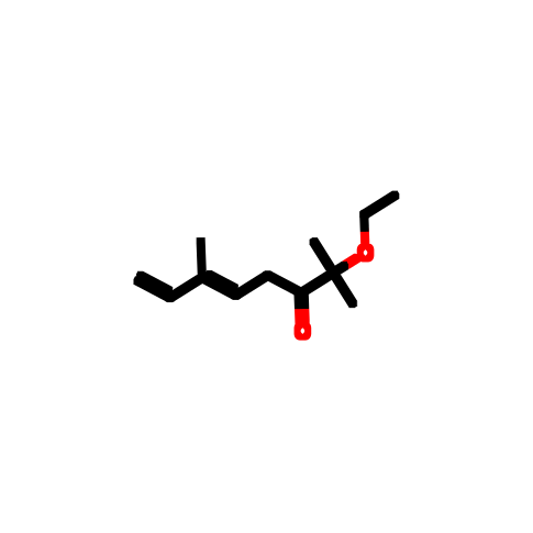 C=C/C(C)=C/CC(=O)C(C)(C)OCC